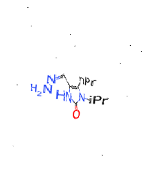 CCCc1c(/C=N\N)[nH]c(=O)n1C(C)C